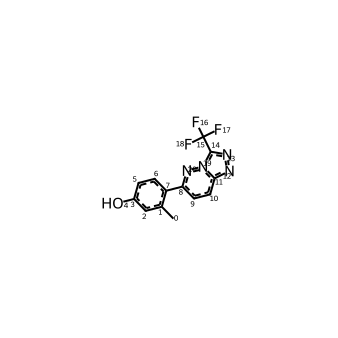 Cc1cc(O)ccc1-c1ccc2nnc(C(F)(F)F)n2n1